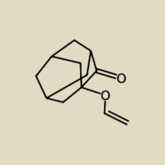 C=COC12CC3CC(CC(C3)C1=O)C2